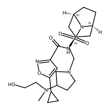 CN(CCO)C1CCN(CCS(=O)(=O)N2[C@@H]3CC[C@H]2C[C@@H](NC(=O)c2cc(C4CC4)on2)C3)C1